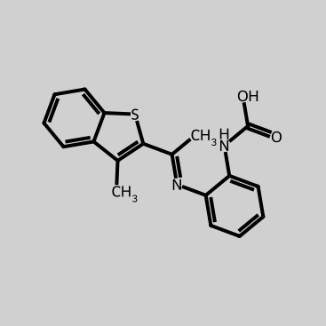 CC(=Nc1ccccc1NC(=O)O)c1sc2ccccc2c1C